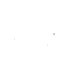 CC(C)C(C)c1ccc2[nH]cnc2c1